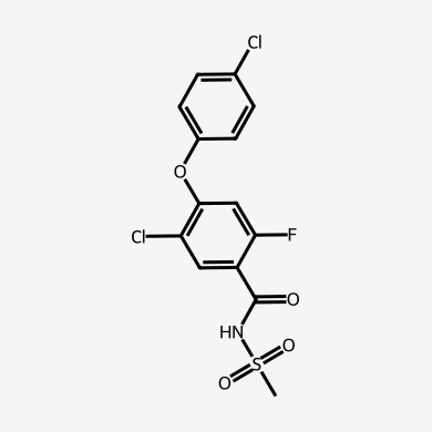 CS(=O)(=O)NC(=O)c1cc(Cl)c(Oc2ccc(Cl)cc2)cc1F